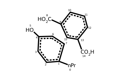 CCCc1ccc(O)cc1.O=C(O)c1cccc(C(=O)O)c1